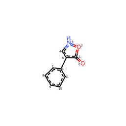 O=c1o[nH]cc1-c1ccccc1